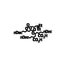 CCCCCCCCCCCCC(CCC(=O)OC(CC(CCCCCCCCCCCC)C(=O)O)CC(CCCCCCCCCCCC)C(=O)O)OC(=O)OCCCN(CC)CC